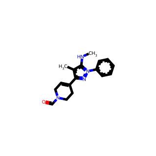 CNc1c(C)c(C2=CCN(C=O)CC2)nn1-c1ccccc1